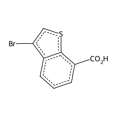 O=C(O)c1cccc2c(Br)csc12